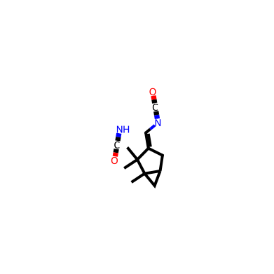 CC1(C)C(=CN=C=O)CC2CC21C.N=C=O